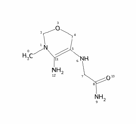 CN1COCC(NCC(N)=O)=C1N